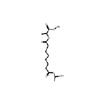 CCCOC(=O)C(C)OC(=O)CCCCCCC(=O)OC(C)C(C)=O